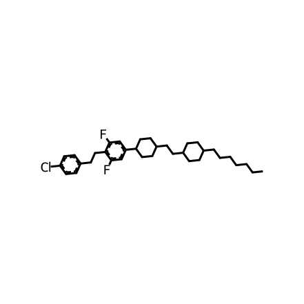 CCCCCCCC1CCC(CCC2CCC(c3cc(F)c(CCc4ccc(Cl)cc4)c(F)c3)CC2)CC1